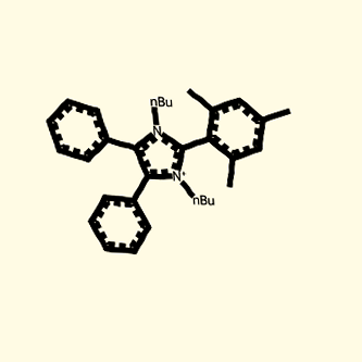 CCCCn1c(-c2ccccc2)c(-c2ccccc2)[n+](CCCC)c1-c1c(C)cc(C)cc1C